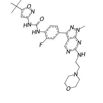 Cn1nc(-c2ccc(NC(=O)Nc3cc(C(C)(C)C)on3)c(F)c2)c2cnc(NCCN3CCOCC3)nc21